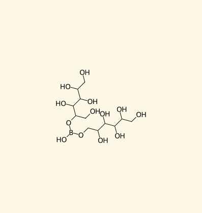 OCC(O)C(O)C(O)C(O)COB(O)OC(CO)C(O)C(O)C(O)CO